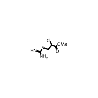 COC(=O)C(Cl)CSC(=N)N